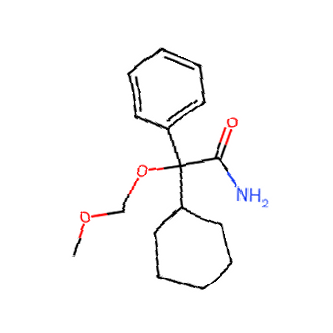 COCOC(C(N)=O)(c1ccccc1)C1CCCCC1